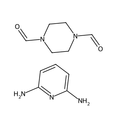 Nc1cccc(N)n1.O=CN1CCN(C=O)CC1